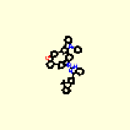 CC1(C)c2ccccc2-c2ccc(-c3nc(-n4c5ccccc5c5cc(-c6cccc7oc8ccc(-c9ccc%10c(c9)c9ccccc9n%10-c9ccccc9)cc8c67)ccc54)nc4ccccc34)cc21